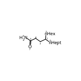 CCCCCCCC(CCCCCC)CCC(N)=O